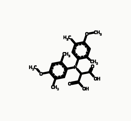 COc1cc(C)c(N(c2cc(C)c(OC)cc2C)C(C(=O)O)C(=O)O)cc1C